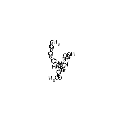 CC(=O)N1CCC(N(NC(=O)c2ccc(CN3CCC(N4CCN(C)CC4)CC3)cc2)c2nc(C#N)ncc2Br)CC1.O=C(O)C(F)(F)F